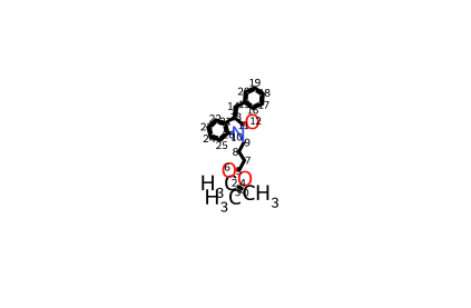 CC(C)(C)OC(=O)CCCN1C(=O)/C(=C\c2ccccc2)c2ccccc21